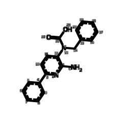 Nc1nc(-c2ccccc2)ccc1N(Cc1ccccc1)C(=O)O